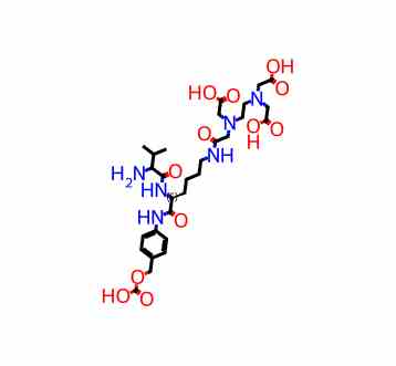 CC(C)C(N)C(=O)N[C@@H](CCCCNC(=O)CN(CCN(CC(=O)O)CC(=O)O)CC(=O)O)C(=O)Nc1ccc(COC(=O)O)cc1